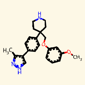 COc1cccc(OCC2(c3ccc(-c4c[nH]nc4C)cc3)CCNCC2)c1